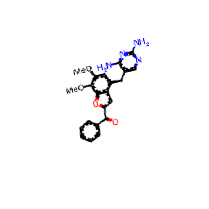 COc1cc(Cc2cnc(N)nc2N)c2cc(C(=O)c3ccccc3)oc2c1OC